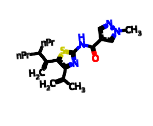 C=C(C)c1nc(NC(=O)c2cnn(C)c2)sc1C(=C)C(CCC)CCC